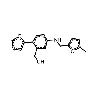 Cc1ccc(CNc2ccc(-c3cnco3)c(CO)c2)o1